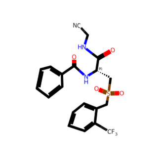 N#CCNC(=O)[C@H](CS(=O)(=O)Cc1ccccc1C(F)(F)F)NC(=O)c1ccccc1